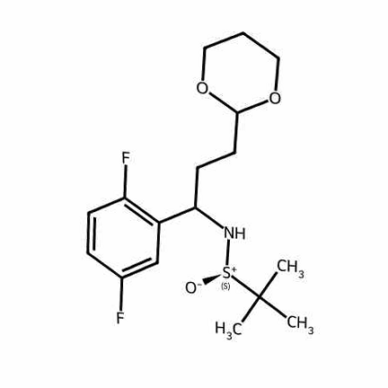 CC(C)(C)[S@@+]([O-])NC(CCC1OCCCO1)c1cc(F)ccc1F